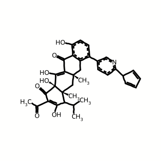 CC(=O)C1=C(O)C(C(C)C)[C@@]2(C)C[C@@]3(C)Cc4c(-c5ccc(C6C=CC=C6)nc5)ccc(O)c4C(=O)C3=C(O)[C@@]2(O)C1=O